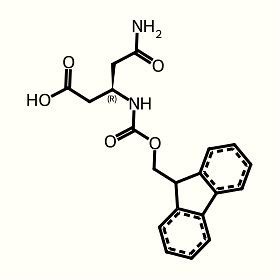 NC(=O)C[C@H](CC(=O)O)NC(=O)OCC1c2ccccc2-c2ccccc21